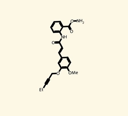 CCC#CCOc1cc(/C=C/C(=O)Nc2ccccc2C(=O)ON)ccc1OC